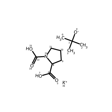 CC(C)(C)[O-].O=C(O)C1CCCN1C(=O)O.[K+]